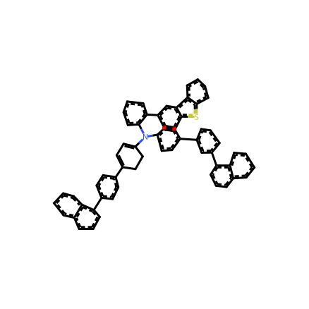 c1c(-c2ccccc2N(C2=CC=C(c3ccc(-c4cccc5ccccc45)cc3)CC2)c2ccc(-c3cccc(-c4cccc5ccccc45)c3)cc2)cc2c(c#1)sc1ccccc12